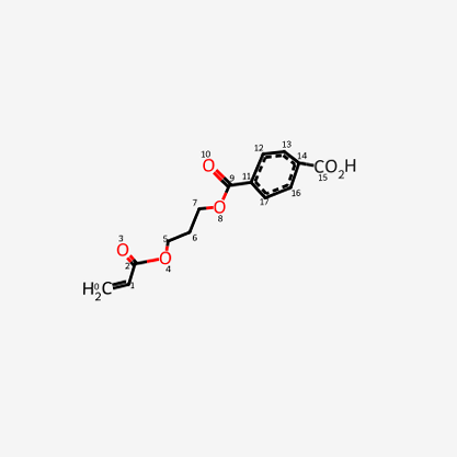 C=CC(=O)OCCCOC(=O)c1ccc(C(=O)O)cc1